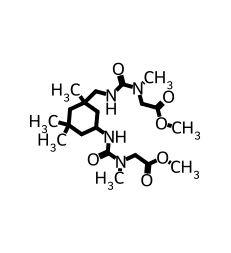 COC(=O)CN(C)C(=O)NCC1(C)CC(NC(=O)N(C)CC(=O)OC)CC(C)(C)C1